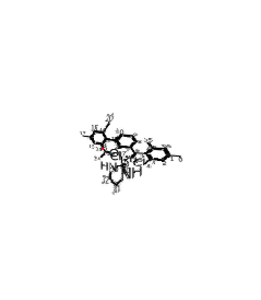 Cc1cc(C)c([C](c2cccc(-c3c(C)cc(C)cc3C)c2OC(C)C)=[Ru]([Cl])([Cl])=[C]2NCCN2)c(C)c1